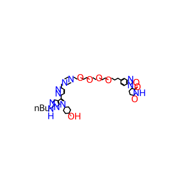 CCCCNc1ncc2c(-c3ccc(CN4CCN(CCOCCOCCOCCOCCCc5ccc6c(c5)n(C)c(=O)n6[C@H]5CCC(=O)NC5=O)CC4)nn3)cn([C@H]3CC[C@H](O)CC3)c2n1